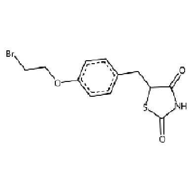 O=C1NC(=O)C(Cc2ccc(OCCBr)cc2)S1